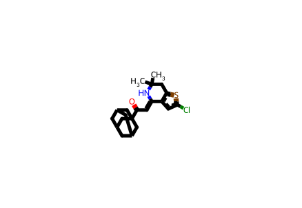 CC1(C)Cc2sc(Cl)cc2C(=CC(=O)C23CC4CC(CC(C4)C2)C3)N1